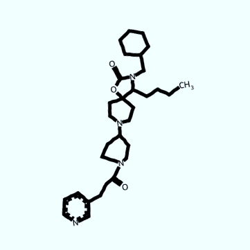 CCCCC1N(CC2CCCCC2)C(=O)OC12CCN(C1CCN(C(=O)CCc3cccnc3)CC1)CC2